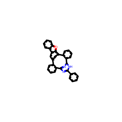 c1ccc(C2=NC3=NC(N2)c2ccccc2-c2cc(cc4c2oc2ccccc24)-c2ccccc23)cc1